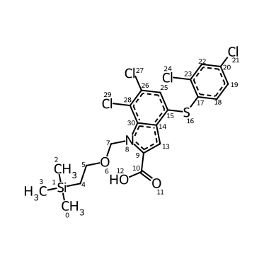 C[Si](C)(C)CCOCn1c(C(=O)O)cc2c(Sc3ccc(Cl)cc3Cl)cc(Cl)c(Cl)c21